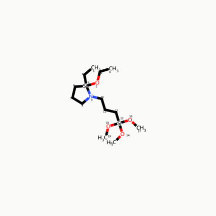 CCO[Si]1(CC)CCCN1CCC[Si](OC)(OC)OC